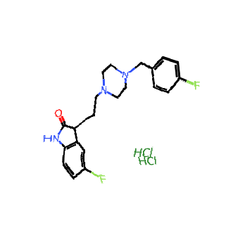 Cl.Cl.O=C1Nc2ccc(F)cc2C1CCN1CCN(Cc2ccc(F)cc2)CC1